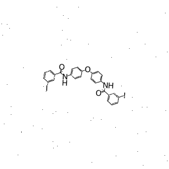 O=C(Nc1ccc(Oc2ccc(NC(=O)c3cccc(I)c3)cc2)cc1)c1cccc(I)c1